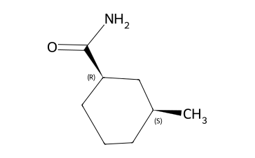 C[C@H]1CCC[C@@H](C(N)=O)C1